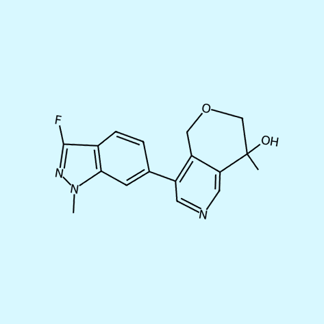 Cn1nc(F)c2ccc(-c3cncc4c3COCC4(C)O)cc21